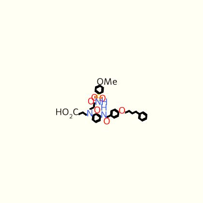 COc1ccc(S(=O)(=O)NC(=O)C2CN(CCCC(=O)O)c3cccc(NC(=O)c4ccc(OCCCCc5ccccc5)cc4)c3O2)cc1